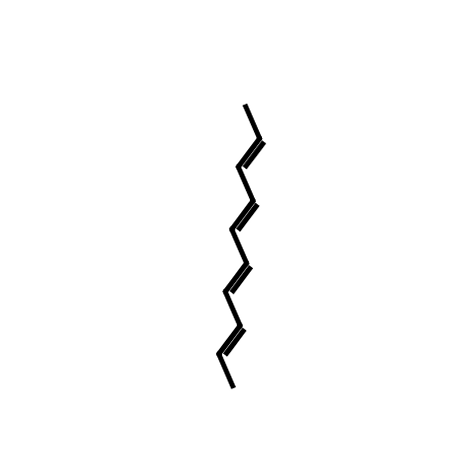 CC=CC=CC=CC=CC